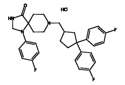 Cl.O=C1NCN(c2ccc(F)cc2)C12CCN(CC1CCC(c3ccc(F)cc3)(c3ccc(F)cc3)C1)CC2